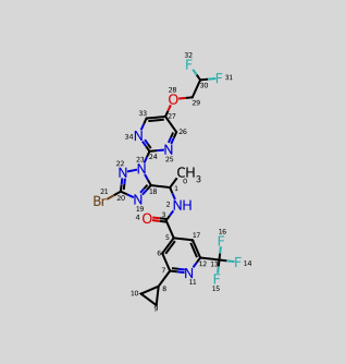 CC(NC(=O)c1cc(C2CC2)nc(C(F)(F)F)c1)c1nc(Br)nn1-c1ncc(OCC(F)F)cn1